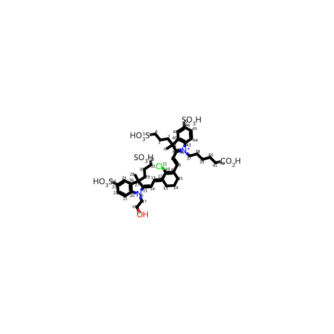 CC1(CCCS(=O)(=O)O)C(/C=C/C2=C(Cl)C(=C/C=C3/N(CCO)c4ccc(S(=O)(=O)O)cc4C3(C)CCCS(=O)(=O)O)/CCC2)=[N+](CCCCCC(=O)O)c2ccc(S(=O)(=O)O)cc21